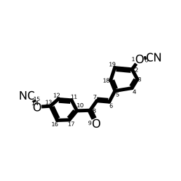 N#COc1ccc(/C=C/C(=O)c2ccc(OC#N)cc2)cc1